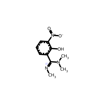 C/N=C(/c1cccc([N+](=O)[O-])c1O)N(C)C